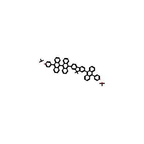 CC(C)(C)Oc1ccc(-c2c3ccccc3c(-c3ccc4c(c3)C(C)(C)c3cc(-c5c6ccccc6c(-c6c7ccccc7c(-c7ccc(OC(C)(C)C)cc7)c7ccccc67)c6ccccc56)ccc3-4)c3ccccc23)cc1